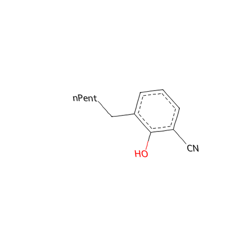 CCCCCCc1cccc(C#N)c1O